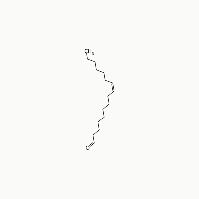 CCCCCC/C=C\CCCCCCCC=O